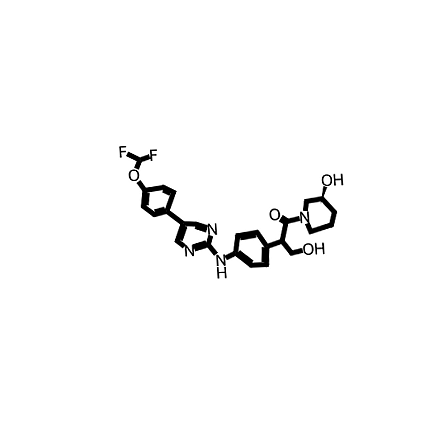 O=C(C(CO)c1ccc(Nc2ncc(-c3ccc(OC(F)F)cc3)cn2)cc1)N1CCC[C@H](O)C1